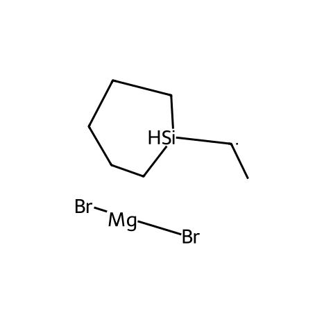 C[CH][SiH]1CCCCC1.[Br][Mg][Br]